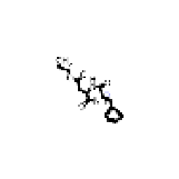 C=CCOC(=O)CC1NC(=O)/C(=C/c2ccccc2)NC1=O